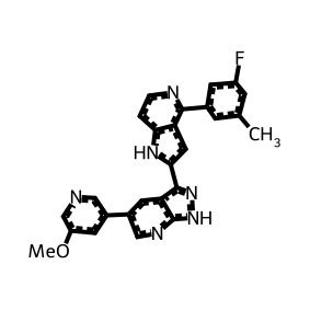 COc1cncc(-c2cnc3[nH]nc(-c4cc5c(-c6cc(C)cc(F)c6)nccc5[nH]4)c3c2)c1